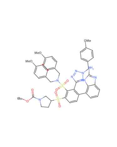 COc1ccc(CN(Cc2ccc(OC)cc2)S(=O)(=O)c2c(S(=O)(=O)C3CCN(C(=O)OC(C)(C)C)C3)ccc(-c3cccc4nc(N)[nH]c34)c2-c2nnn(Cc3ccc(OC)cc3)n2)cc1